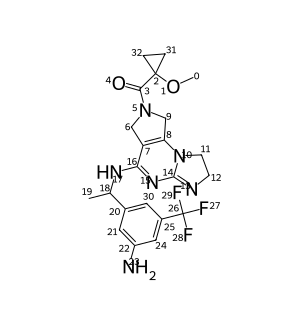 COC1(C(=O)N2CC3=C(C2)N2CCN=C2N=C3NC(C)c2cc(N)cc(C(F)(F)F)c2)CC1